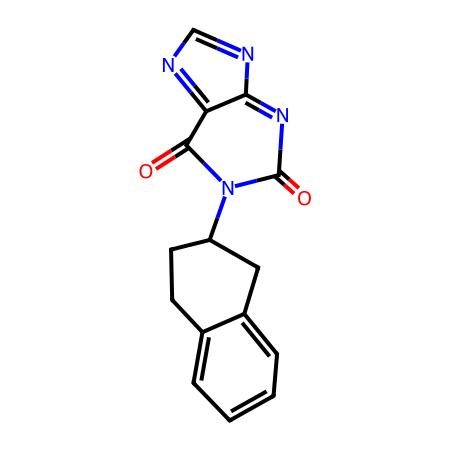 O=C1N=C2N=CN=C2C(=O)N1C1CCc2ccccc2C1